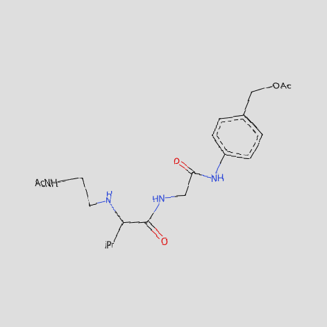 CC(=O)NCCNC(C(=O)NCC(=O)Nc1ccc(COC(C)=O)cc1)C(C)C